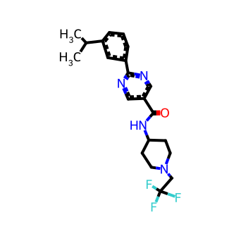 CC(C)c1cccc(-c2ncc(C(=O)NC3CCN(CC(F)(F)F)CC3)cn2)c1